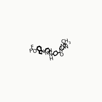 Cc1cnc2n1CCN(C(=O)C1CCC(Nc3nccc(-n4ccc5c(OC(F)F)cccc54)n3)CC1)C2